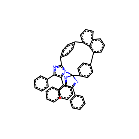 c1ccc(C2=NC3(N=C2c2ccccc2)c2ccc(cc2)-c2cccc4cccc(c24)-c2ccc(cc2)-c2nc(-c4ccccc4)c(-c4ccccc4)n23)cc1